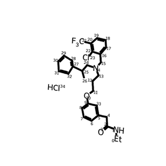 CCNC(=O)Cc1cccc(OCCCN(Cc2cccc(C(F)(F)F)c2Cl)CC(C)c2ccccc2)c1.Cl